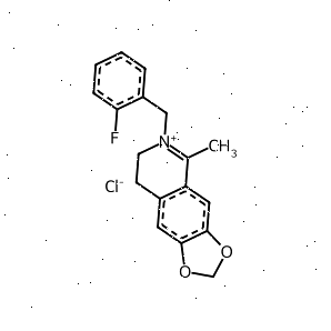 CC1=[N+](Cc2ccccc2F)CCc2cc3c(cc21)OCO3.[Cl-]